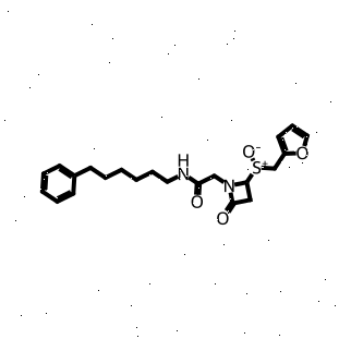 O=C(CN1C(=O)CC1[S+]([O-])Cc1ccco1)NCCCCCCc1ccccc1